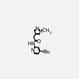 CCC(C)c1ccnc(NC(=O)Cc2cnn(C)c2)c1